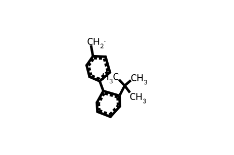 [CH2]c1ccc(-c2ccccc2C(C)(C)C)cc1